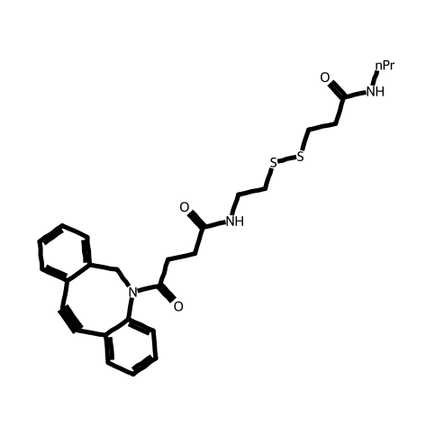 CCCNC(=O)CCSSCCNC(=O)CCC(=O)N1Cc2ccccc2C#Cc2ccccc21